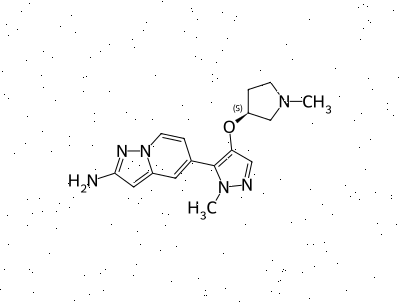 CN1CC[C@H](Oc2cnn(C)c2-c2ccn3nc(N)cc3c2)C1